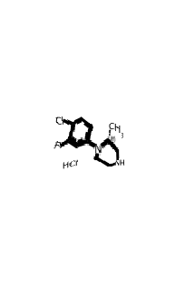 C[C@@H]1CNCCN1c1ccc(Cl)c(F)c1.Cl